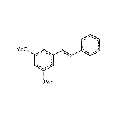 COc1cc(/C=C/c2cc[c]cc2)cc(OC)c1